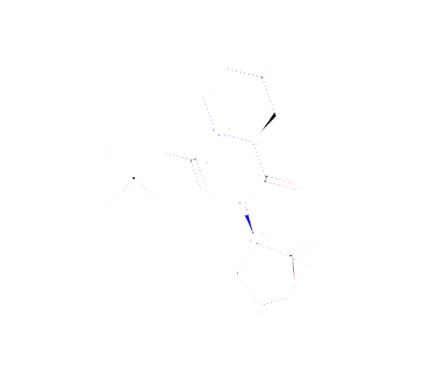 CC(C)C[C@@H](C(=O)N[C@@H]1CCOC1=O)N(C)C(=O)OC(C)(C)C